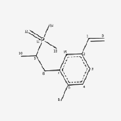 C=Cc1ccc(C)c(CC(C)P(=C)(C)C)c1